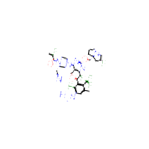 C=C(F)C(=O)N1CCN(c2nc(OC[C@@]34CCCN3C[C@H](F)C4)nc3c2COC(c2c(F)c(N)cc(C)c2C(F)(F)F)C3)C[C@@H]1CC#N